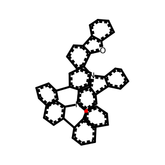 c1ccc(-c2ccccc2N(c2ccccc2)c2ccccc2-c2ccccc2-c2ccc3c(c2)c2ccccc2n3-c2cccc3c2oc2ccccc23)cc1